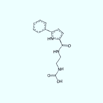 O=C(O)NCCNC(=O)c1ccc(-c2ccccc2)[nH]1